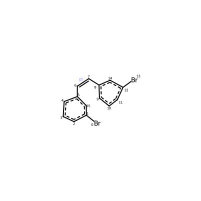 Brc1cccc(/C=C\c2cccc(Br)c2)c1